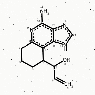 C=CC(O)C1CCCc2nc(N)c3nc[nH]c3c21